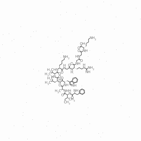 CC[C@H](C)[C@H](NC(=O)[C@@H](N)Cc1ccccc1)C(=O)N[C@@H](C)C(=O)N[C@@H](Cc1c[nH]c2ccccc12)C(=O)N[C@@H](CC(C)C)C(=O)N[C@H](C(=O)N[C@@H](CCCCN)C(=O)NCC(=O)N[C@@H](CCCNC(=N)N)C(=O)NCC(=O)NCC(=O)N[C@@H](CCCCN)C(=O)O)C(C)C